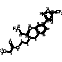 O=C(CC(F)(F)F)OCCN(Cc1ccc(-c2noc(C(F)(F)F)n2)cc1)C(=O)CC(F)(F)F